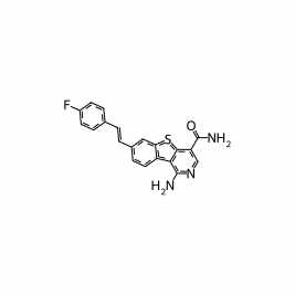 NC(=O)c1cnc(N)c2c1sc1cc(C=Cc3ccc(F)cc3)ccc12